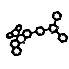 c1ccc(-c2cc(-c3ccc(-c4ccc5c(c4)Sc4c(ccc6ccccc46)C54c5ccccc5-c5ccccc54)cc3)nc(-c3ccccc3)n2)cc1